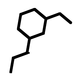 CC[CH]C1CCCC(CC)C1